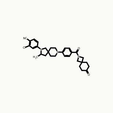 CC1CC2(CCN(c3ccc(C(=O)N4CC5(CCC(=O)CC5)C4)cc3)CC2)CN1c1ccc(C#N)c(Cl)c1